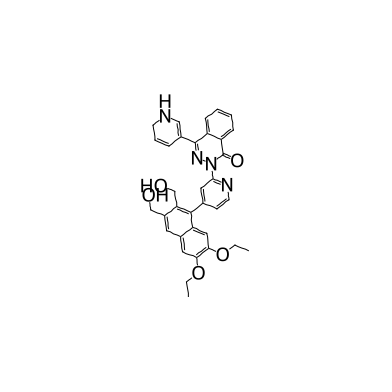 CCOc1cc2cc(CO)c(CO)c(-c3ccnc(-n4nc(C5=CNCC=C5)c5ccccc5c4=O)c3)c2cc1OCC